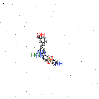 Cl.O=S(=O)(c1ccc(Nc2ncc(C=Cc3cccc(CO)c3)cn2)cc1)C1CCNCC1